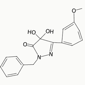 COc1cccc(C2=NN(Cc3ccccc3)C(=O)C2(O)O)c1